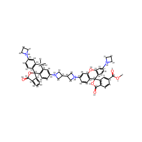 COC(=O)c1ccc2c(c1)C1(OC2=O)c2ccc(N3CCC3)cc2Oc2cc(N3CC(C4CN(c5ccc6c(c5)[Si](C)(C)c5cc(N7CCC7)ccc5C65OC(=O)c6ccccc65)C4)C3)ccc21